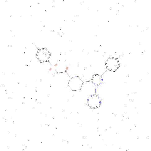 Cc1ccc(S(=O)(=O)CC(=O)N2CCCC(c3cc(-c4ccc(F)cc4)nn3-c3ncccn3)C2)cc1